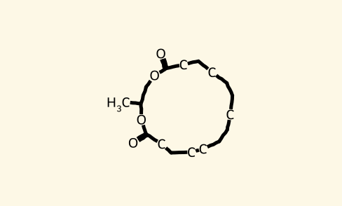 CC1COC(=O)CCCCCCCCCCCCC(=O)O1